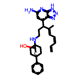 C=C/C=C\C=C(/C)C(CCNC12CCC(c3ccccc3)(CC1)CC2O)c1cc(N)nc2[nH]nnc12